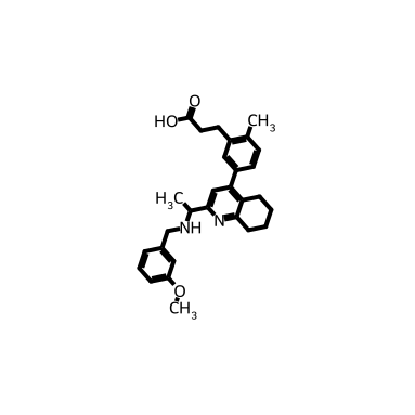 COc1cccc(CNC(C)c2cc(-c3ccc(C)c(CCC(=O)O)c3)c3c(n2)CCCC3)c1